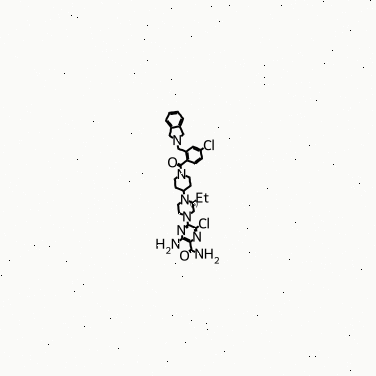 CC[C@H]1CN(c2nc(N)c(C(N)=O)nc2Cl)CCN1C1CCN(C(=O)c2ccc(Cl)cc2CN2Cc3ccccc3C2)CC1